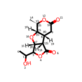 CC(O)C1OC(=O)[C@H]2[C@H]3CC(=O)O[C@@H](C)[C@H]3O[C@@H]12